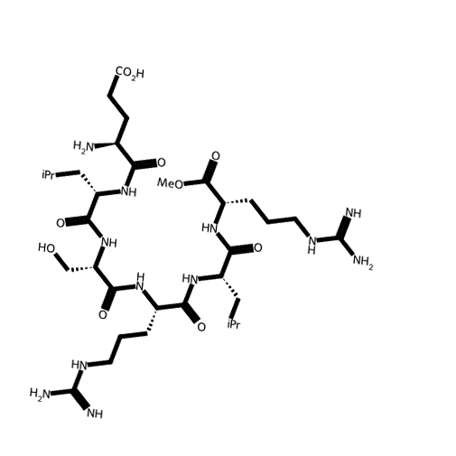 COC(=O)[C@H](CCCNC(=N)N)NC(=O)[C@H](CC(C)C)NC(=O)[C@H](CCCNC(=N)N)NC(=O)[C@H](CO)NC(=O)[C@H](CC(C)C)NC(=O)[C@@H](N)CCC(=O)O